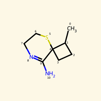 CC1CCC12SCCN=C2N